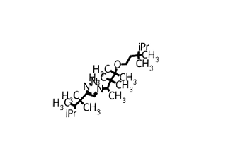 CC(C)C(C)C(C)(C)c1cn(C(C)C(C)(C)C(C)(C)OCCC(C)(C)C(C)C)nn1